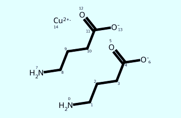 NCCCC(=O)[O-].NCCCC(=O)[O-].[Cu+2]